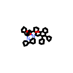 c1ccc(-c2ccccc2N(c2ccc3c(c2)c(-c2ccccc2)c(-c2ccccc2)c2ccccc23)c2cccc3c4ccccc4n(-c4ccc5ccccc5c4)c23)cc1